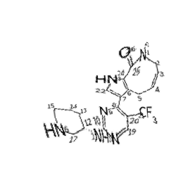 CN1CC=CCc2c(-c3nc(N[C@H]4CCCNC4)ncc3C(F)(F)F)c[nH]c2C1=O